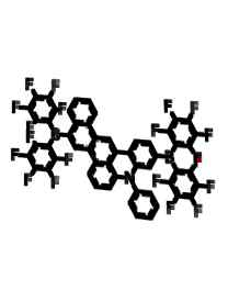 Fc1c(F)c(F)c(B(c2ccc3c(c2)N(c2ccccc2)c2cccc4c2c-3cc2c3ccccc3c(B(c3c(F)c(F)c(F)c(F)c3F)c3c(F)c(F)c(F)c(F)c3F)cc42)c2c(F)c(F)c(F)c(F)c2F)c(F)c1F